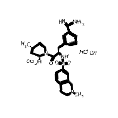 C[C@@H]1CCN(C(=O)[C@@H](Cc2cccc(C(=N)N)c2)NS(=O)(=O)c2ccc3c(c2)CN(C)CC3)[C@@H](C(=O)O)C1.Cl.Cl